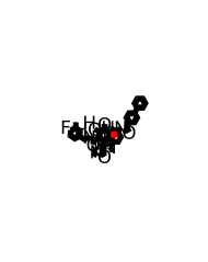 Cc1cc(CNC(=O)c2nc3n(c(=O)c2O)CC2(NC(=O)c4ccc(-c5ccccc5)cc4)CCC3(N(C)C(=O)C(=O)N(C)C)CC2)ccc1F